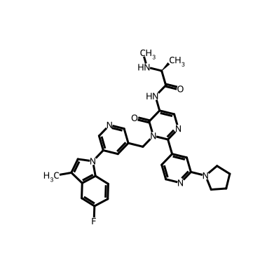 CN[C@@H](C)C(=O)Nc1cnc(-c2ccnc(N3CCCC3)c2)n(Cc2cncc(-n3cc(C)c4cc(F)ccc43)c2)c1=O